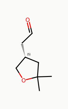 CC1(C)C[C@@H](CC=O)CO1